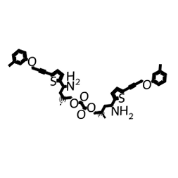 Cc1cccc(OCC#Cc2ccc(C(N)C[C@@H](C)COC(=O)C(=O)OC[C@H](C)CC(N)c3ccc(C#CCOc4cccc(C)c4)s3)s2)c1